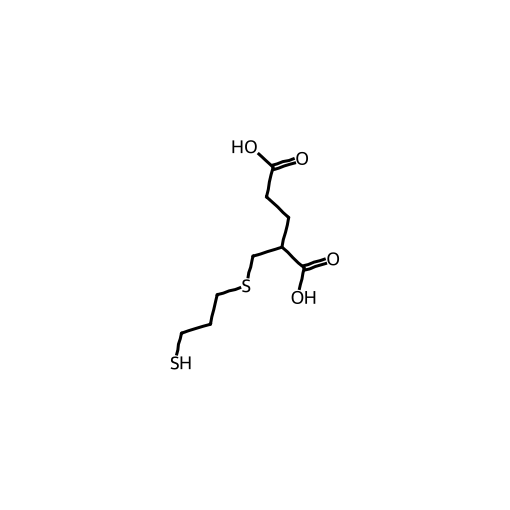 O=C(O)CCC(CSCCCS)C(=O)O